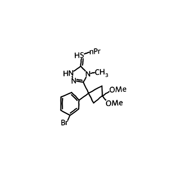 CCC/[SH]=c1/[nH]nc(C2(c3cccc(Br)c3)CC(OC)(OC)C2)n1C